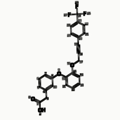 O=C(O)Cc1cccc(Oc2ccccc2OCC#Cc2ccc(C(F)(F)F)cc2)c1